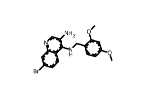 COc1ccc(CNc2c(N)cnc3cc(Br)ccc23)c(OC)c1